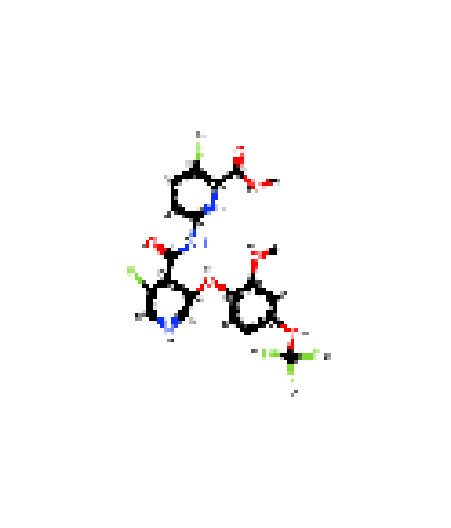 COC(=O)c1nc(NC(=O)c2c(F)cncc2Oc2ccc(OC(F)(F)F)cc2OC)ccc1F